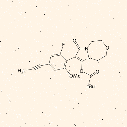 CC#Cc1cc(F)c(-c2c(OC(=O)C(C)(C)C)n3n(c2=O)CCOCC3)c(OC)c1